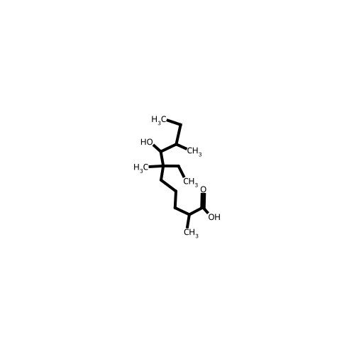 CCC(C)C(O)C(C)(CC)CCCC(C)C(=O)O